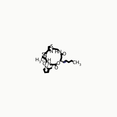 CCC/C=C/[C@@H]1CC(=O)NCc2nc(cs2)C2=N[C@@](C)(CS2)C(=O)N[C@@H](CC2=CCC=N2)C(=O)O1